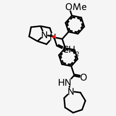 C=CCN1C2CCC1CN(C(c1ccc(C(=O)NN3CCCCCC3)cc1)c1cccc(OC)c1)C2